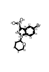 O=[N+]([O-])c1nn(C2CCCCO2)c2ccc(Br)cc12